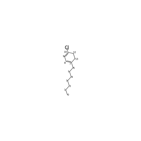 CCCCCCCC1=CC=C(Cl)CC1